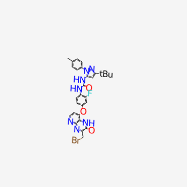 Cc1ccc(-n2nc(C(C)(C)C)cc2NC(=O)Nc2ccc(Oc3ccnc4nc(CBr)c(=O)[nH]c34)cc2F)cc1